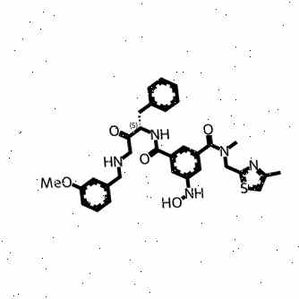 COc1cccc(CNCC(=O)[C@H](Cc2ccccc2)NC(=O)c2cc(NO)cc(C(=O)N(C)Cc3nc(C)cs3)c2)c1